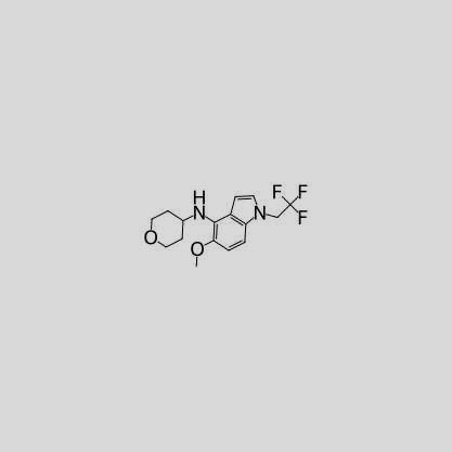 COc1ccc2c(ccn2CC(F)(F)F)c1NC1CCOCC1